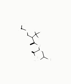 CC(=O)SCC(C(=O)N[C@@H](CC(C)C)C(=O)O)C(F)(F)F